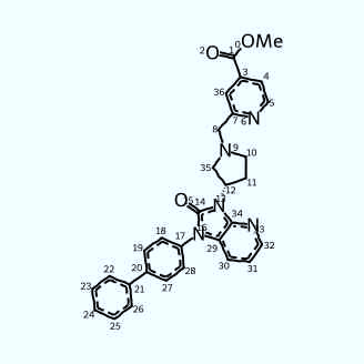 COC(=O)c1ccnc(CN2CC[C@H](n3c(=O)n(-c4ccc(-c5ccccc5)cc4)c4cccnc43)C2)c1